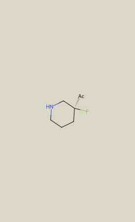 CC(=O)[C@]1(F)CCCNC1